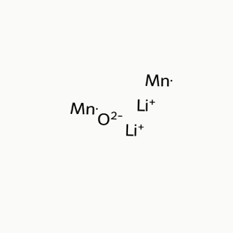 [Li+].[Li+].[Mn].[Mn].[O-2]